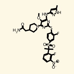 COc1c(Nc2cc(C)[nH]n2)nc(Sc2ccc(S(=O)(=O)C(C)(C)c3cccc([N+](=O)[O-])c3F)cc2F)nc1N1CCC(CC(N)=O)CC1